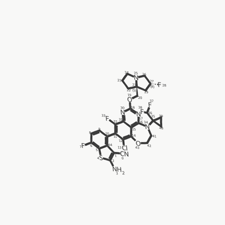 N#Cc1c(N)sc2c(F)ccc(-c3c(Cl)c4c5c(nc(OC[C@@]67CCCN6C[C@H](F)C7)nc5c3F)N(C3(C(F)F)CC3)CCO4)c12